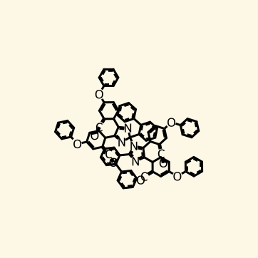 O=C=C1C=C(Oc2ccccc2)C=CC1C1=NC(c2ccccc2-c2ccccc2)(n2c(-c3ccccc3-c3ccccc3)nc(C3C=CC(Oc4ccccc4)=CC3=C=O)c2C2C=CC(Oc3ccccc3)=CC2=C=O)N=C1C1C=CC(Oc2ccccc2)=CC1=C=O